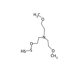 COCCN(CCOC)CCOSS